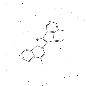 Cc1cn2c3c(nc2c2ccccc12)-c1cccc2cccc-3c12